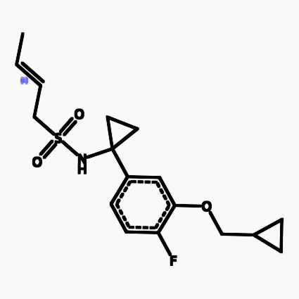 C/C=C/CS(=O)(=O)NC1(c2ccc(F)c(OCC3CC3)c2)CC1